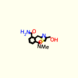 CNC(=O)c1cccc(C(N)=O)c1Cc1nc(CO)cs1